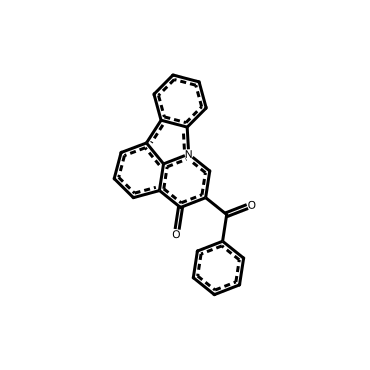 O=C(c1ccccc1)c1cn2c3ccccc3c3cccc(c1=O)c32